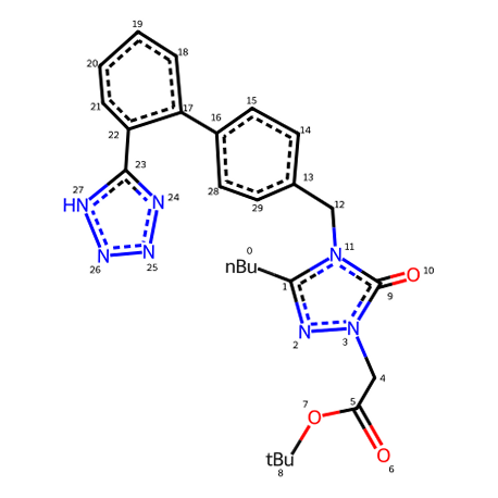 CCCCc1nn(CC(=O)OC(C)(C)C)c(=O)n1Cc1ccc(-c2ccccc2-c2nnn[nH]2)cc1